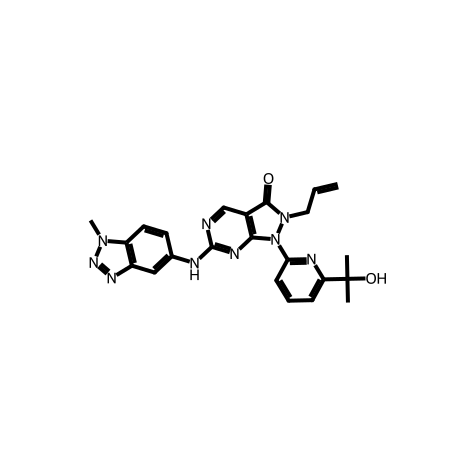 C=CCn1c(=O)c2cnc(Nc3ccc4c(c3)nnn4C)nc2n1-c1cccc(C(C)(C)O)n1